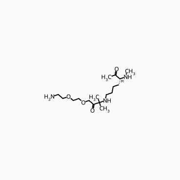 CN[C@H](CCCCNC(C)(C)C(=O)COCCOCCN)C(C)=O